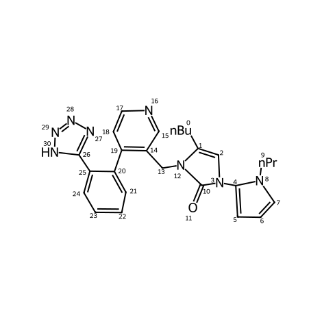 CCCCc1cn(-c2cccn2CCC)c(=O)n1Cc1cnccc1-c1ccccc1-c1nnn[nH]1